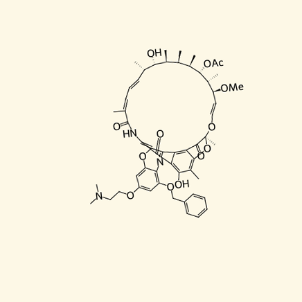 CO[C@H]1/C=C/O[C@@]2(C)Oc3c(C)c(O)c4c(=O)c(c5oc6cc(OCCN(C)C)cc(OCc7ccccc7)c6nc-5c4c3C2=O)NC(=O)/C(C)=C\C=C\[C@H](C)[C@H](O)[C@@H](C)[C@@H](C)[C@@H](C)[C@H](OC(C)=O)[C@@H]1C